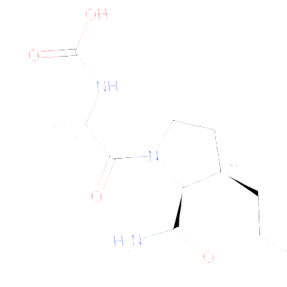 CCC[C@@H]1CCN(C(=O)[C@H](C)NC(=O)O)[C@@H]1C(N)=O